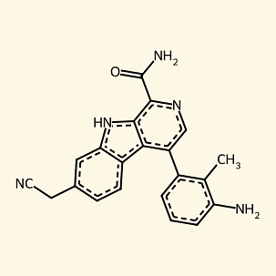 Cc1c(N)cccc1-c1cnc(C(N)=O)c2[nH]c3cc(CC#N)ccc3c12